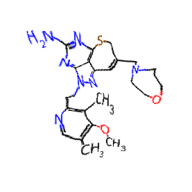 COc1c(C)cnc(Cn2nc3c4c(nc(N)nc42)SCC(CN2CCOCC2)=C3)c1C